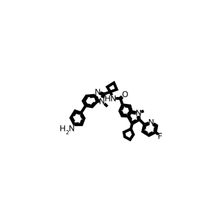 Cn1c(C2(NC(=O)c3ccc4c(C5CCCC5)c(-c5ccc(F)cn5)n(C)c4c3)CCC2)nc2ccc(-c3ccc(N)cc3)cc21